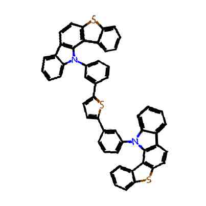 c1cc(-c2ccc(-c3cccc(-n4c5ccccc5c5ccc6sc7ccccc7c6c54)c3)s2)cc(-n2c3ccccc3c3ccc4sc5ccccc5c4c32)c1